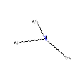 CCCCCCCCCCCCCCCCCn1cc[n+](CCCCCCCCCCC)c1CCCCCCCCCCCCCCCC